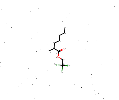 CCCCCC(C)C(=O)OCC(F)(F)F